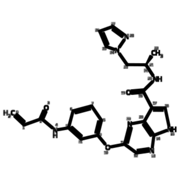 C=CC(=O)Nc1cccc(Oc2cnc3[nH]cc(C(=O)N[C@H](C)Cn4cccn4)c3n2)c1